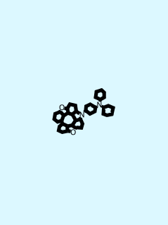 c1ccc(N(c2ccccc2)c2ccc(-n3c4ccc5oc6cccc7c8cccc9oc%10ccc3c(c%10c98)c4c5c67)cc2)cc1